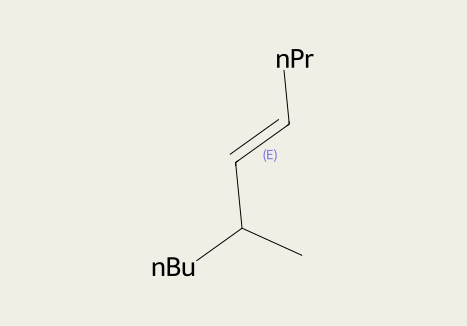 CCC/C=C/C(C)CCCC